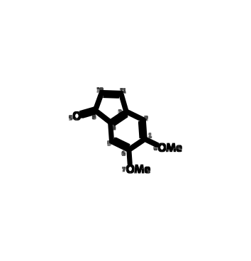 COc1cc2c(cc1OC)C(=O)C=C2